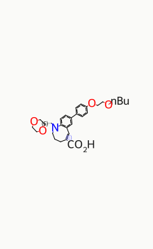 CCCCOCCOc1ccc(-c2ccc3c(c2)/C=C(/C(=O)O)CCCN3C[C@H]2COCCO2)cc1